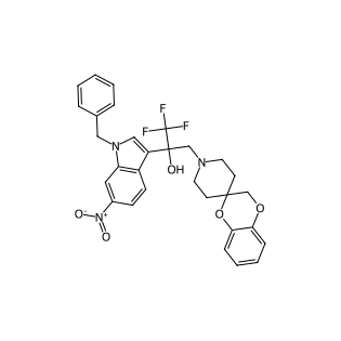 O=[N+]([O-])c1ccc2c(C(O)(CN3CCC4(CC3)COc3ccccc3O4)C(F)(F)F)cn(Cc3ccccc3)c2c1